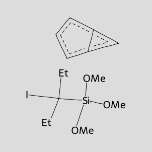 CCC(I)(CC)[Si](OC)(OC)OC.c1cc2cc-2c1